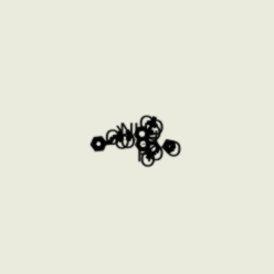 CC(=O)O[C@H]1C[C@@H](C(=O)N[C@H](C)C(=O)OCc2ccccc2)[C@]2(C)CC[C@H]3C(=O)O[C@@H](c4ccoc4)C[C@]3(C)[C@H]2C1=O